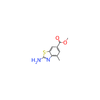 COC(=O)c1cc(C)c2nc(N)sc2c1